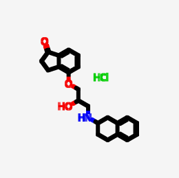 Cl.O=C1CCc2c(OCC(O)CNC3CCc4ccccc4C3)cccc21